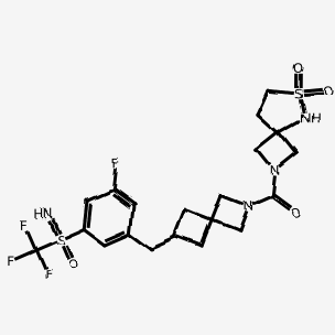 N=S(=O)(c1cc(F)cc(CC2CC3(C2)CN(C(=O)N2CC4(CCS(=O)(=O)N4)C2)C3)c1)C(F)(F)F